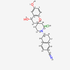 COc1ccc2c(c1)C(O)CC1(CCN([C@@H]3CCc4cc(C#N)ccc4C3)CC1)O2.Cl